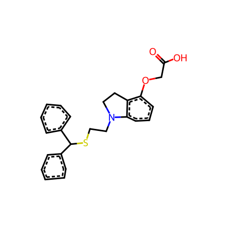 O=C(O)COc1cccc2c1CCN2CCSC(c1ccccc1)c1ccccc1